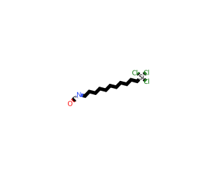 O=C=NCCCCCCCCCCC[Si](Cl)(Cl)Cl